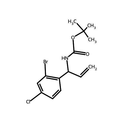 C=CC(NC(=O)OC(C)(C)C)c1ccc(Cl)cc1Br